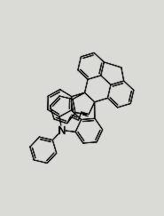 c1ccc(-n2c3cccc4c3c3c(cccc32)C23c5cccc6c5-c5c(cccc5C42c2cccc4cccc3c24)C6)cc1